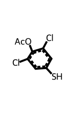 CC(=O)Oc1c(Cl)cc(S)cc1Cl